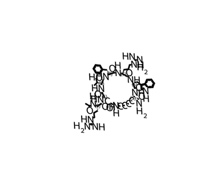 CC(=O)N[C@@H](CCCNC(=N)N)C(O)N[C@H]1CC(=O)NCCCC[C@@H](C(N)=O)NC(=O)[C@H](Cc2c[nH]c3ccccc23)NC(=O)[C@H](CCCNC(=N)N)NC(=O)[C@@H](Cc2ccccc2)NC(O)[C@@H](C(C)C)NC1=O